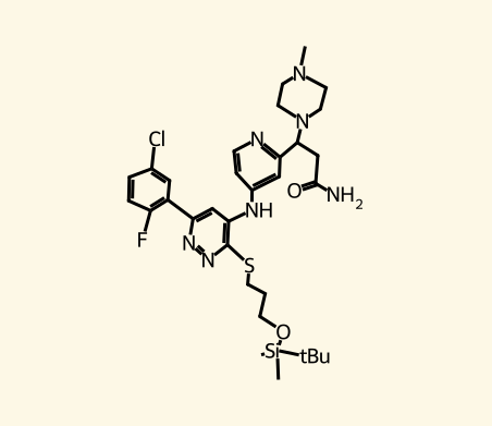 CN1CCN(C(CC(N)=O)c2cc(Nc3cc(-c4cc(Cl)ccc4F)nnc3SCCCO[Si](C)(C)C(C)(C)C)ccn2)CC1